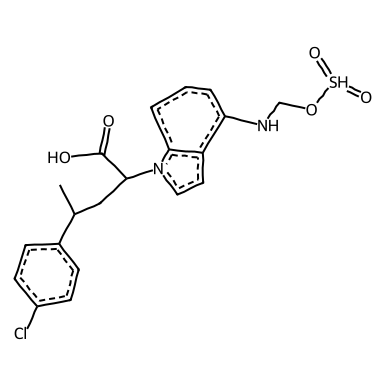 CC(CC(C(=O)O)n1ccc2c(NCO[SH](=O)=O)cccc21)c1ccc(Cl)cc1